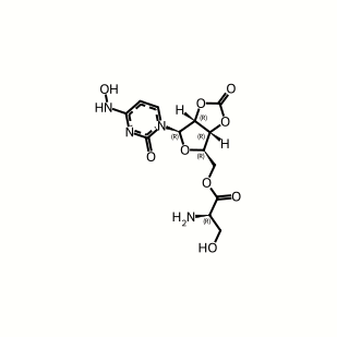 N[C@H](CO)C(=O)OC[C@H]1O[C@@H](n2ccc(NO)nc2=O)[C@@H]2OC(=O)O[C@@H]21